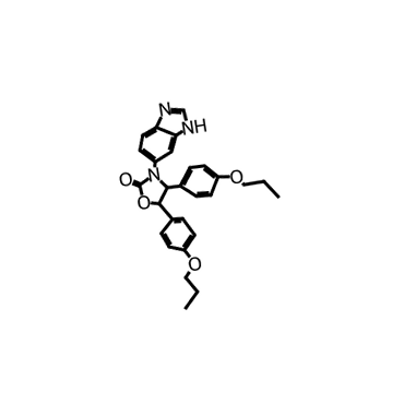 CCCOc1ccc(C2OC(=O)N(c3ccc4nc[nH]c4c3)C2c2ccc(OCCC)cc2)cc1